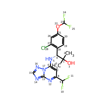 CC(C)(O)[C@H](Nc1cc(C(F)F)nc2ncnn12)c1ccc(OC(F)F)cc1Cl